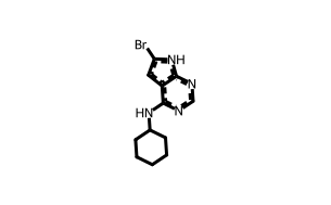 Brc1cc2c(NC3CCCCC3)ncnc2[nH]1